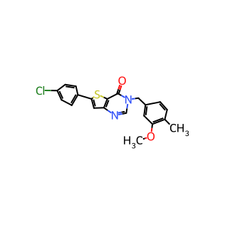 COc1cc(Cn2cnc3cc(-c4ccc(Cl)cc4)sc3c2=O)ccc1C